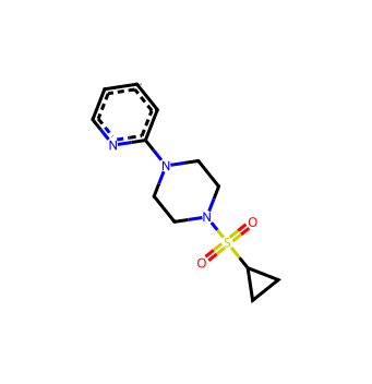 O=S(=O)(C1CC1)N1CCN(c2c[c]ccn2)CC1